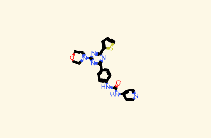 O=C(Nc1ccncc1)Nc1ccc(-c2nc(-c3cccs3)nc(N3CCOCC3)n2)cc1